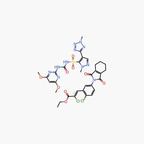 CCOC(=O)/C(Cl)=C/c1cc(N2C(=O)C3=C(CCCC3)C2=O)ccc1Cl.COc1cc(OC)nc(NC(=O)NS(=O)(=O)c2c(-c3nnn(C)n3)cnn2C)n1